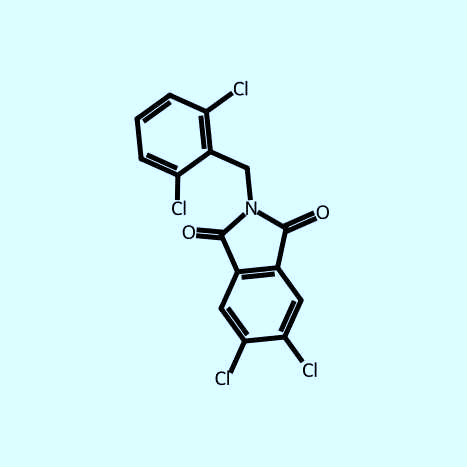 O=C1c2cc(Cl)c(Cl)cc2C(=O)N1Cc1c(Cl)cccc1Cl